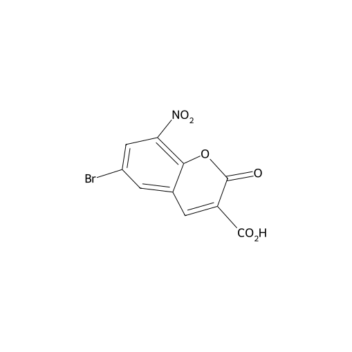 O=C(O)c1cc2cc(Br)cc([N+](=O)[O-])c2oc1=O